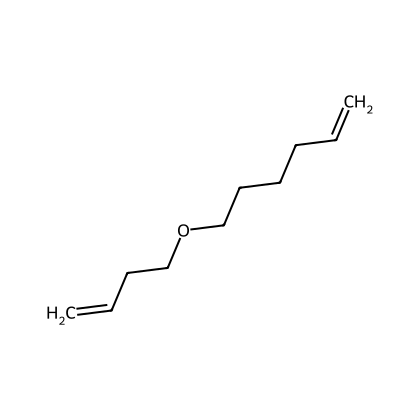 C=CCCCCOCCC=C